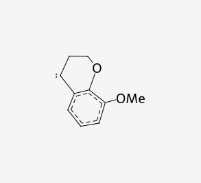 COc1cccc2c1OCC[C]2